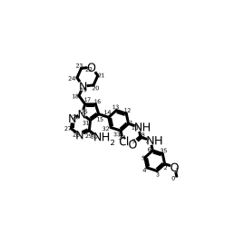 COc1cccc(NC(=O)Nc2ccc(-c3cc(CN4CCOCC4)n4ncnc(N)c34)cc2Cl)c1